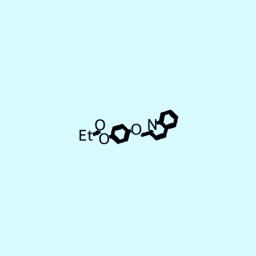 CCC(=O)Oc1ccc(OCc2ccc3ccccc3n2)cc1